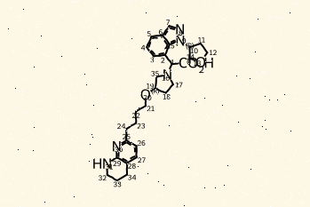 O=C(O)C(c1cccc2cnn([C@@H]3CCOC3)c12)N1CC[C@@H](OCCCCc2ccc3c(n2)NCCC3)C1